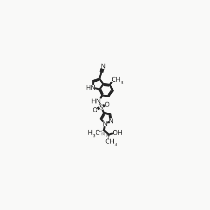 Cc1ccc(NS(=O)(=O)c2cnn([C@@H](C)[C@@H](C)O)c2)c2[nH]cc(C#N)c12